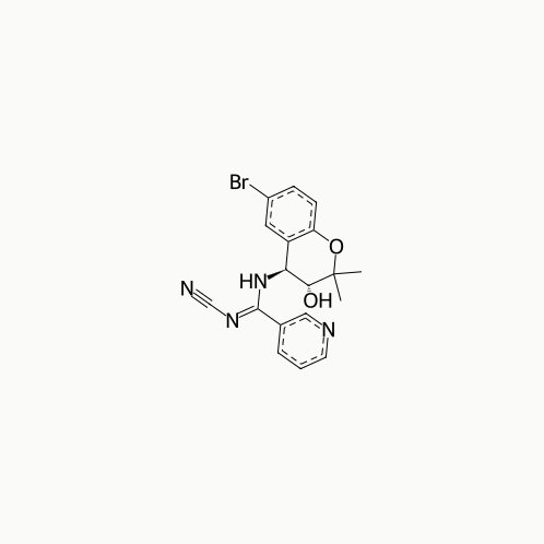 CC1(C)Oc2ccc(Br)cc2[C@H](N/C(=N\C#N)c2cccnc2)[C@H]1O